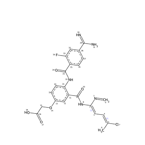 C=N/C(=C\C=C(/C)Cl)NC(=O)c1cc(OCC(=O)O)ccc1NC(=O)c1ccc(C(=N)N)cc1F